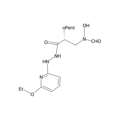 CCCCC[C@H](CN(O)C=O)C(=O)NNc1cccc(OCC)n1